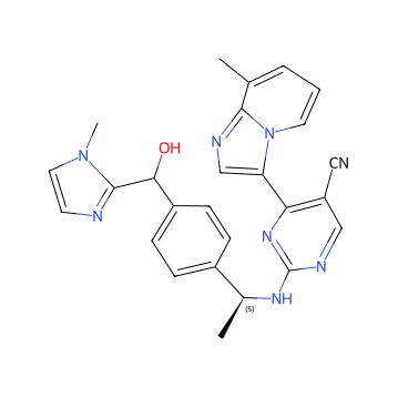 Cc1cccn2c(-c3nc(N[C@@H](C)c4ccc(C(O)c5nccn5C)cc4)ncc3C#N)cnc12